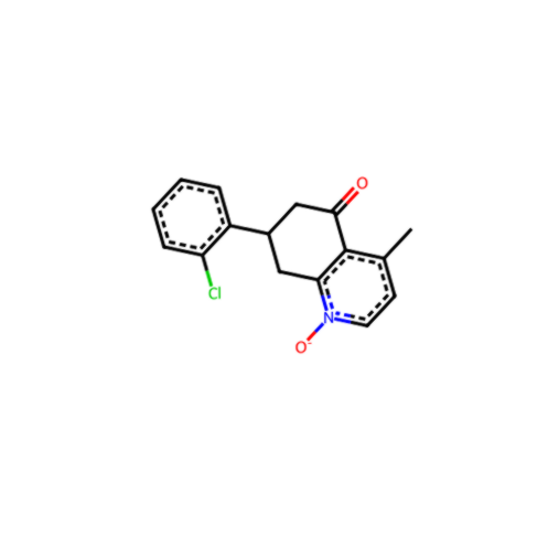 Cc1cc[n+]([O-])c2c1C(=O)CC(c1ccccc1Cl)C2